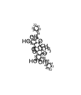 CC1=C(C2=C(C)C(=O)c3c(cc(O)c(O)c3CCCc3ccccc3)C2=O)C(=O)c2cc(O)c(O)c(CCCc3ccccc3)c2C1=O